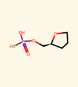 O=P(O)(S)OC[C@@H]1CCCO1